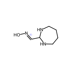 O/N=C/C1NCCCCN1